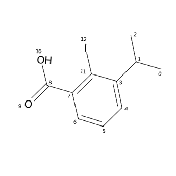 CC(C)c1cccc(C(=O)O)c1I